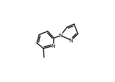 Cc1cccc(-n2cccn2)n1